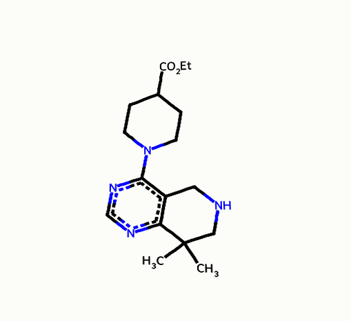 CCOC(=O)C1CCN(c2ncnc3c2CNCC3(C)C)CC1